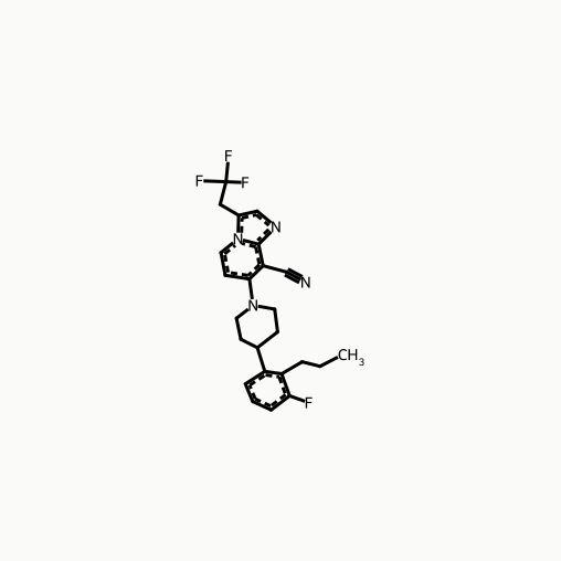 CCCc1c(F)cccc1C1CCN(c2ccn3c(CC(F)(F)F)cnc3c2C#N)CC1